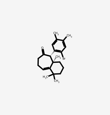 Cc1cc(Br)c([C@H]2C(=O)CCC=C3C(C)(C)CCC[C@@]32C)cc1C